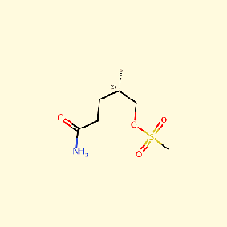 C[C@@H](CCC(N)=O)COS(C)(=O)=O